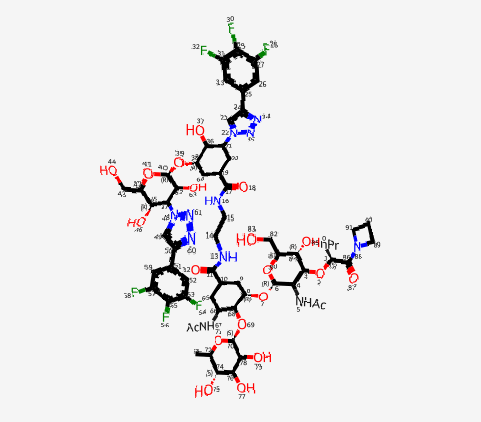 CCC[C@H](OC1C(NC(C)=O)[C@H](O[C@@H]2CC(C(=O)NCCNC(=O)C3CC(n4cc(-c5cc(F)c(F)c(F)c5)nn4)C(O)[C@H](O[C@@H]4OC(CO)[C@H](O)C(n5cc(-c6cc(F)c(F)c(F)c6)nn5)C4O)C3)CC(NC(C)=O)C2O[C@@H]2OC(C)[C@@H](O)C(O)C2O)OC(CO)[C@@H]1O)C(=O)N1CCC1